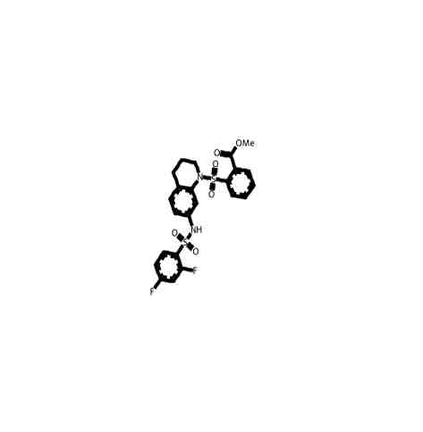 COC(=O)c1ccccc1S(=O)(=O)N1CCCc2ccc(NS(=O)(=O)c3ccc(F)cc3F)cc21